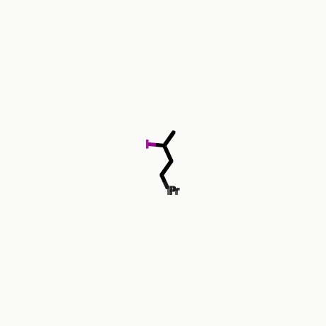 CC(C)CCC(C)I